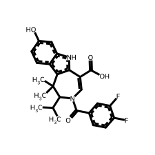 CC(C)C1N(C(=O)c2ccc(F)c(F)c2)C=C(C(=O)O)c2[nH]c3cc(O)ccc3c2C1(C)C